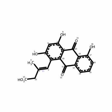 C/C(=C\c1c(O)cc(O)c2c1C(=O)c1cccc(O)c1C2=O)CC(=O)O